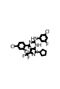 Cc1cc(Cl)ccc1C(=O)/N=C(/Nc1cc(F)cc(Cl)c1)Nc1cc(C(F)(F)F)nn1C1CCCC1